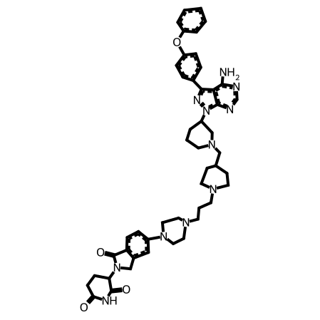 Nc1ncnc2c1c(-c1ccc(Oc3ccccc3)cc1)nn2C1CCCN(CC2CCN(CCCN3CCN(c4ccc5c(c4)CN(C4CCC(=O)NC4=O)C5=O)CC3)CC2)C1